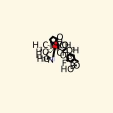 C[C@@H]1CC[C@@]23CCC(=O)[C@H]2[C@@]1(C)[C@H](C(Oc1ccc2c(c1F)B(O)OC2)C(=O)O)C[C@@](C)(/C=N\O)[C@@H](O)[C@@H]3C